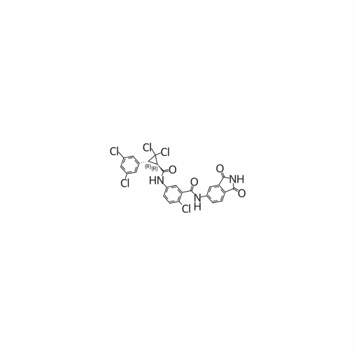 O=C(Nc1ccc2c(c1)C(=O)NC2=O)c1cc(NC(=O)[C@H]2[C@H](c3cc(Cl)cc(Cl)c3)C2(Cl)Cl)ccc1Cl